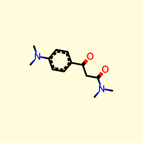 CN(C)C(=O)CC(=O)c1ccc(N(C)C)cc1